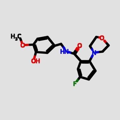 COc1ccc(CNC(=O)c2cc(F)ccc2N2CCOCC2)cc1O